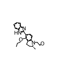 CCCOc1c(-c2nc3ccccc3[nH]2)ccc2c1CC[C@H](C)N2CC=O